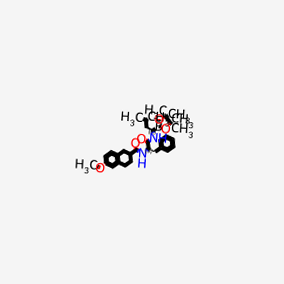 COc1ccc2c(c1)CCC(C(=O)N[C@@H](Cc1ccccc1)C(=O)N[C@@H](CC(C)C)B1OC(C)(C)C(C)(C)O1)C2